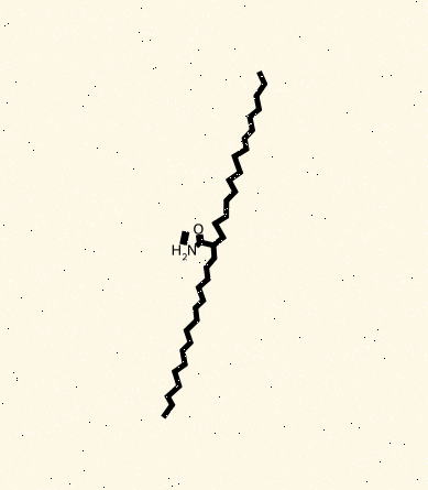 C=C.CCCCCCCCCCCCCCCCC(CCCCCCCCCCCCCCCC)C(N)=O